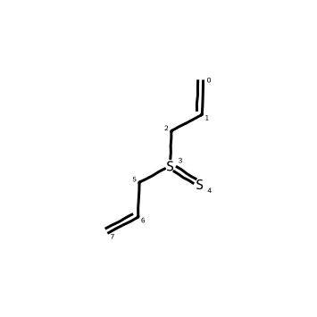 C=CCS(=S)CC=C